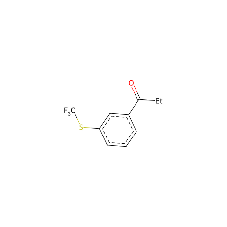 CCC(=O)c1cccc(SC(F)(F)F)c1